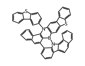 c1ccc2c3c4c(cc2c1)-c1cccc2c5ccc6ccccc6c5n(c12)B4c1cc2sc4ccccc4c2cc1N3c1ccc2sc3ccccc3c2c1